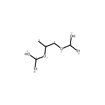 CCC(O)OCC(C)OC(O)CC